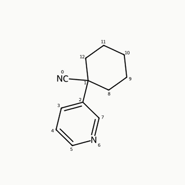 N#CC1(c2cccnc2)CCCCC1